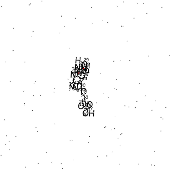 N#Cc1cnn2cc(OCCC3COC4C(O)COC34)cc(-c3ccc(N4CC5CC(C4)N5C(=O)C4CCCN4)nc3)c12